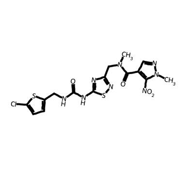 CN(Cc1nsc(NC(=O)NCc2ccc(Cl)s2)n1)C(=O)c1cnn(C)c1[N+](=O)[O-]